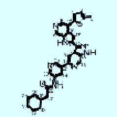 Cc1ccc(-c2cncc3[nH]c(-c4n[nH]c5cnc(-c6cncc(NC(=O)CC7CCCCC7)c6)cc45)cc23)s1